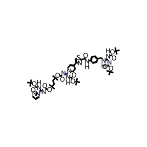 CC(C)(C)OC(=O)/N=C(\NCc1ccc(NC(=O)c2nc(C3=CCN(/C(=N/C(=O)OC(C)(C)CCC(C)(C)OC(=O)/N=C(\NC(=O)OC(C)(C)C)n4cccn4)NC(=O)OC(C)(C)C)CC3)cs2)cc1)NC(=O)OC(C)(C)C